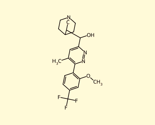 COc1cc(C(F)(F)F)ccc1-c1nnc(C(O)C2CN3CCC2CC3)cc1C